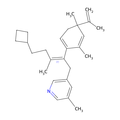 C=C(C)C1(C)C=C(C)C(/C(Cc2cncc(C)c2)=C(/C)CCC2CCC2)=CC1